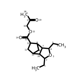 CCC1OC(CC)C2C3CC(CC3C(=O)OCC(C)=O)C12